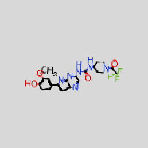 COc1cc(-c2ccc3ncc(NC(=O)NC4CCN(C(=O)C(F)(F)F)CC4)nc3n2)ccc1O